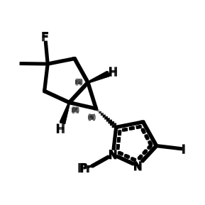 CC(C)n1nc(I)cc1[C@@H]1[C@@H]2CC(C)(F)C[C@@H]21